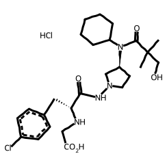 CC(C)(CO)C(=O)N(C1CCCCC1)[C@H]1CCN(NC(=O)[C@@H](Cc2ccc(Cl)cc2)NCC(=O)O)C1.Cl